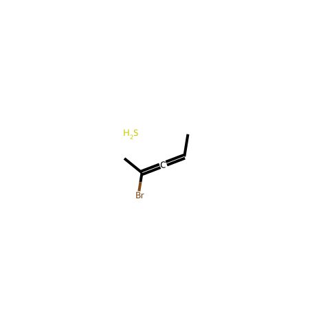 CC=C=C(C)Br.S